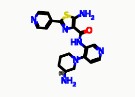 Nc1sc(-c2ccncc2)nc1C(=O)Nc1cnccc1N1CCC[C@H](N)C1